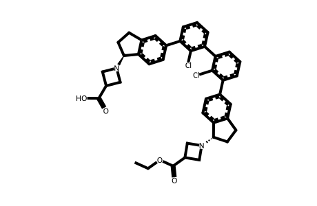 CCOC(=O)C1CN([C@H]2CCc3cc(-c4cccc(-c5cccc(-c6ccc7c(c6)CC[C@@H]7N6CC(C(=O)O)C6)c5Cl)c4Cl)ccc32)C1